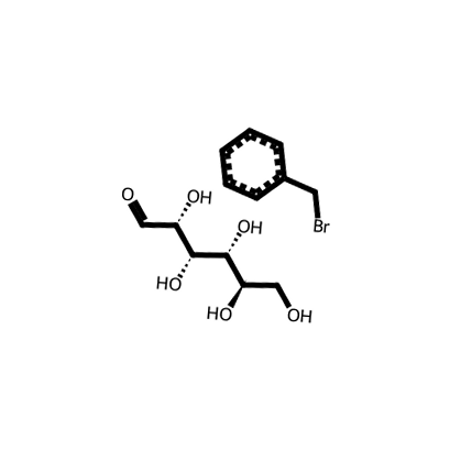 BrCc1ccccc1.O=C[C@H](O)[C@@H](O)[C@H](O)[C@H](O)CO